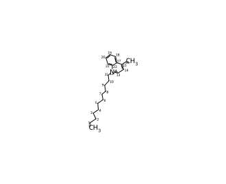 CCCCCCCCCCCC[n+]1ccc(C)c2ccccc21